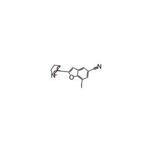 N#Cc1cc(I)c2oc(C3=CN4CCC3CC4)cc2c1